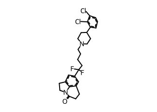 O=C1CCc2cc(C(F)(F)CCCCN3CCC(c4cccc(Cl)c4Cl)CC3)cc3c2N1CC3